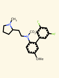 COc1ccc(N(CCC2CCCN2C)C(=O)O)c(-c2cc(F)cc(F)c2)c1